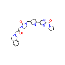 O=C(c1ncc(-c2ccc(CN3CCN(C[C@H](O)CN4CCc5ccccc5C4)C3=O)cn2)cn1)N1CCCC1